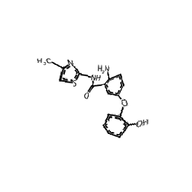 Cc1csc(NC(=O)c2cc(Oc3ccccc3O)ccc2N)n1